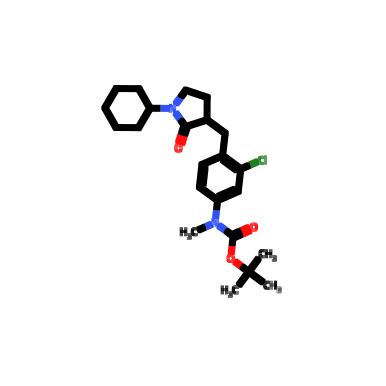 CN(C(=O)OC(C)(C)C)c1ccc(CC2CCN(C3CCCCC3)C2=O)c(Cl)c1